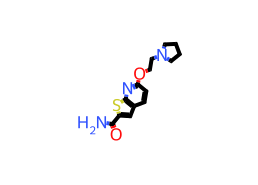 NC(=O)c1cc2ccc(OCCN3CCCC3)nc2s1